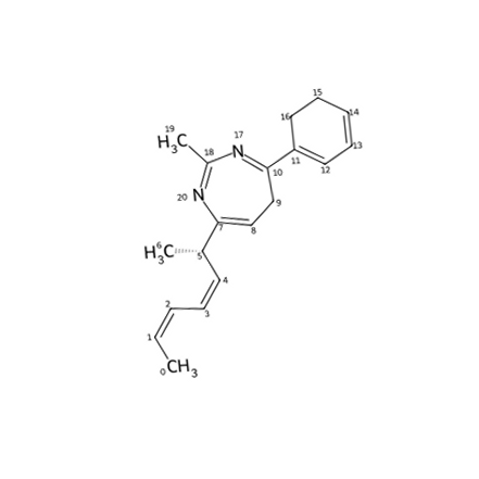 C/C=C\C=C/[C@H](C)C1=CCC(C2=CC=CCC2)=NC(C)=N1